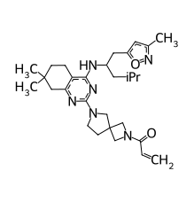 C=CC(=O)N1CC2(CCN(c3nc4c(c(NC(Cc5cc(C)no5)CC(C)C)n3)CCC(C)(C)C4)C2)C1